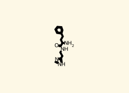 NC(CCc1ccccc1)C(=O)NCCc1c[nH]cn1